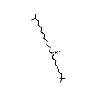 CC(C)CCCCCCCCCC[S+]([O-])CCCOCCC(C)(C)C